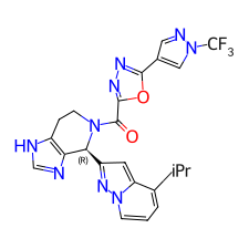 CC(C)c1cccn2nc([C@H]3c4nc[nH]c4CCN3C(=O)c3nnc(-c4cnn(C(F)(F)F)c4)o3)cc12